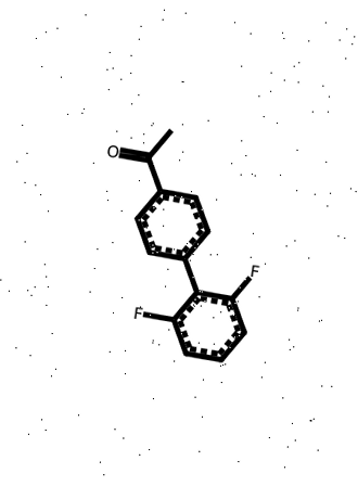 CC(=O)c1ccc(-c2c(F)cccc2F)cc1